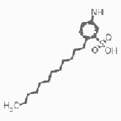 CCCCCCCCCCCCc1ccc([NH])cc1S(=O)(=O)O